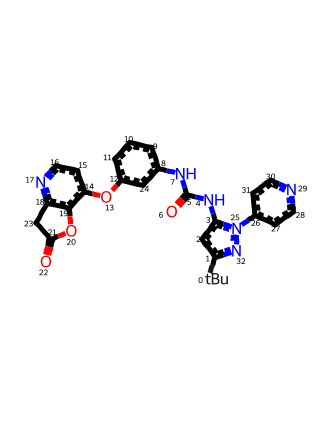 CC(C)(C)c1cc(NC(=O)Nc2cccc(Oc3ccnc4c3OC(=O)C4)c2)n(-c2ccncc2)n1